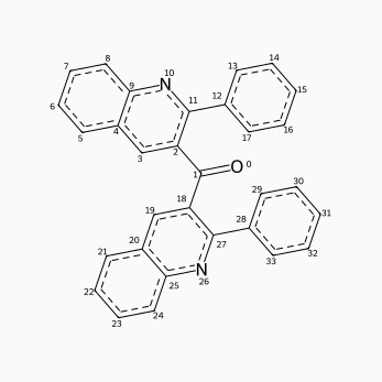 O=C(c1cc2ccccc2nc1-c1ccccc1)c1cc2ccccc2nc1-c1ccccc1